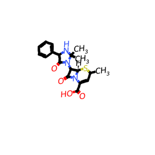 CC1C=C(C(=O)O)N2C(=O)C(N3C(=O)C(c4ccccc4)NC3(C)C)[C@H]2S1